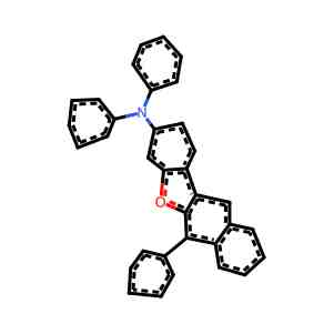 c1ccc(-c2c3ccccc3cc3c2oc2cc(N(c4ccccc4)c4ccccc4)ccc23)cc1